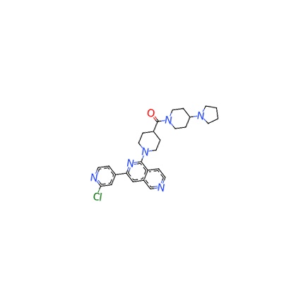 O=C(C1CCN(c2nc(-c3ccnc(Cl)c3)cc3cnccc23)CC1)N1CCC(N2CCCC2)CC1